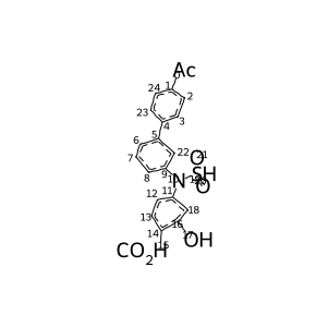 CC(=O)c1ccc(-c2cccc(N(c3ccc(C(=O)O)c(O)c3)[SH](=O)=O)c2)cc1